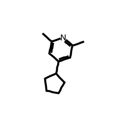 Cc1cc(C2CCCC2)cc(C)n1